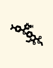 CCOC(=O)C(Cc1ccc(OC(c2ccc(C(C)C)cc2)c2cn[nH]c2)cc1)C(=O)SCC